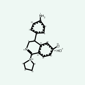 Cl.Nc1ccc(C2CN=C(N3CCCC3)c3ccc(Cl)cc32)cc1